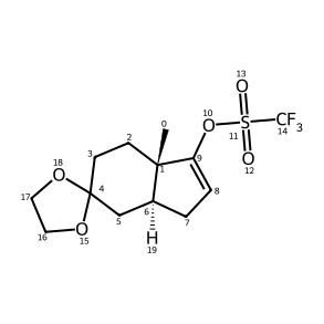 C[C@]12CCC3(C[C@@H]1CC=C2OS(=O)(=O)C(F)(F)F)OCCO3